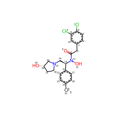 O=C(Cc1ccc(Cl)c(Cl)c1)N(O)[C@H](CN1CC[C@H](O)C1)c1ccc(C(F)(F)F)cc1